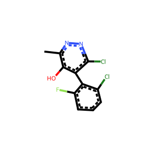 Cc1nnc(Cl)c(-c2c(F)cccc2Cl)c1O